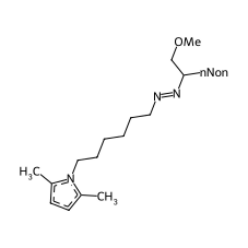 CCCCCCCCCC(COC)N=NCCCCCCn1c(C)ccc1C